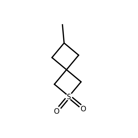 CC1CC2(C1)CS(=O)(=O)C2